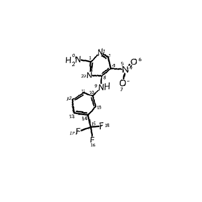 Nc1ncc([N+](=O)[O-])c(Nc2cccc(C(F)(F)F)c2)n1